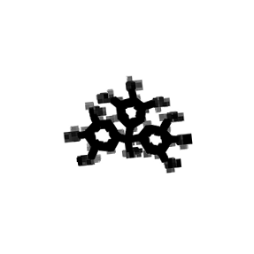 CCCC(c1cc(C(C)(C)C)c(O)c(C(C)(C)C)c1)(c1cc(C(C)(C)C)c(O)c(C(C)(C)C)c1)c1cc(C(C)(C)C)c(O)c(C(C)(C)C)c1